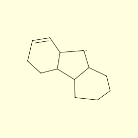 [CH]1C2C=CCCC2C2CCCCC12